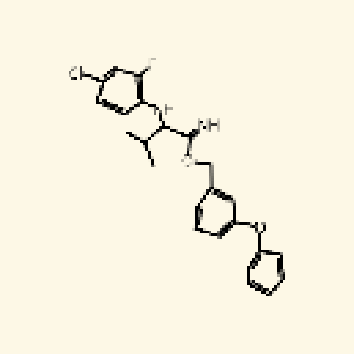 CC(C)C(Nc1ccc(Cl)cc1F)C(=N)OCc1cccc(Oc2ccccc2)c1